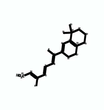 CC(C=CC=C(C)C1=CC2=C(CCCC2(C)C)CC1)=CC(=O)O